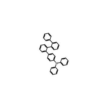 c1ccc(-c2ccccc2-c2ccccc2-c2ccc(N(c3ccccc3)c3ccccc3)cc2)cc1